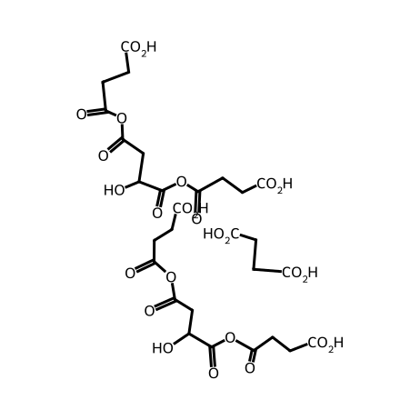 O=C(O)CCC(=O)O.O=C(O)CCC(=O)OC(=O)CC(O)C(=O)OC(=O)CCC(=O)O.O=C(O)CCC(=O)OC(=O)CC(O)C(=O)OC(=O)CCC(=O)O